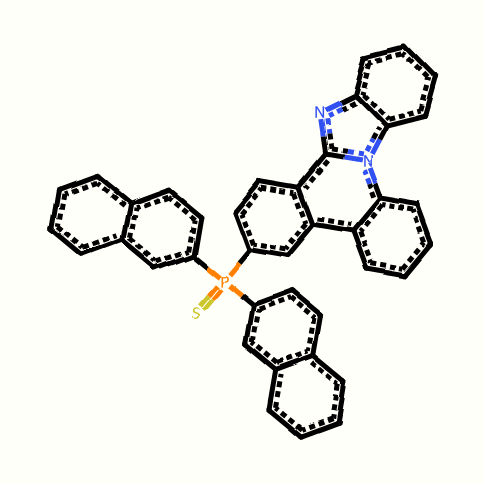 S=P(c1ccc2ccccc2c1)(c1ccc2ccccc2c1)c1ccc2c(c1)c1ccccc1n1c3ccccc3nc21